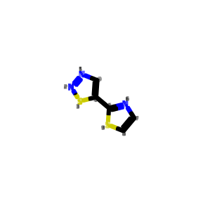 [c]1nnsc1-c1nccs1